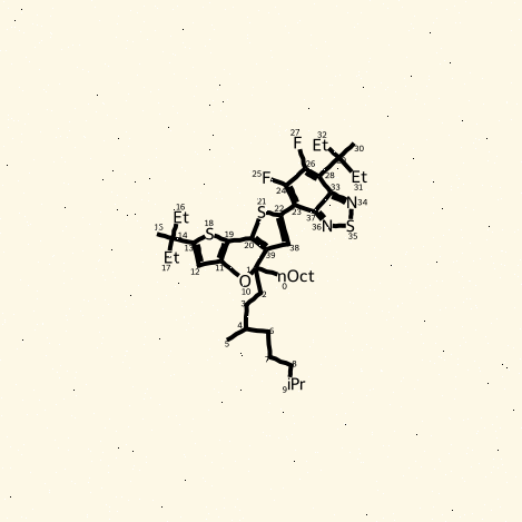 CCCCCCCCC1(CCC(C)CCCC(C)C)Oc2cc(C(C)(CC)CC)sc2-c2sc(-c3c(F)c(F)c(C(C)(CC)CC)c4nsnc34)cc21